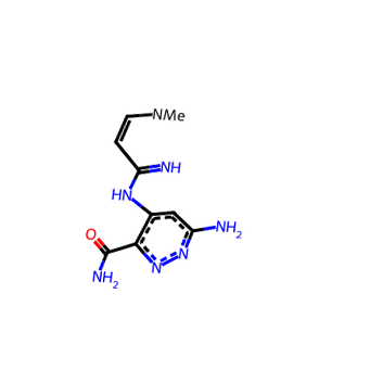 CN/C=C\C(=N)Nc1cc(N)nnc1C(N)=O